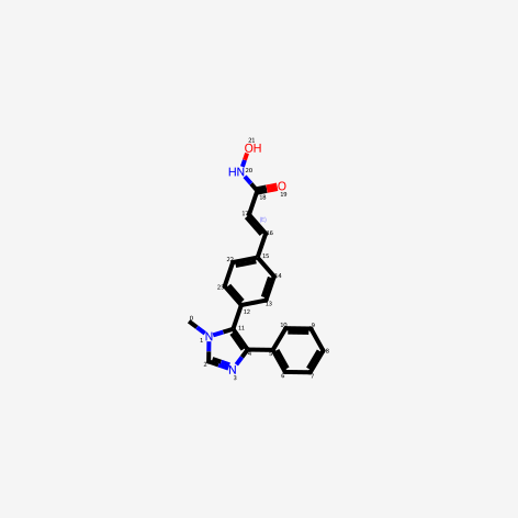 Cn1cnc(-c2ccccc2)c1-c1ccc(/C=C/C(=O)NO)cc1